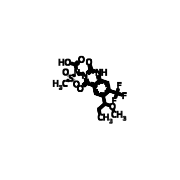 CCC(OC)c1cc2c(=O)n(N(C(=O)O)S(C)(=O)=O)c(=O)[nH]c2cc1C(F)(F)F